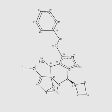 COC1=CC2CC3[C@H](N4CCC4)c4onc(OCc5ccccc5)c4C(O)C13O2